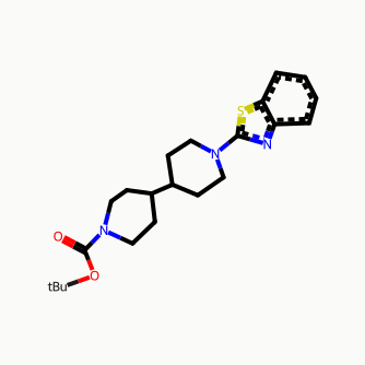 CC(C)(C)OC(=O)N1CCC(C2CCN(c3nc4ccccc4s3)CC2)CC1